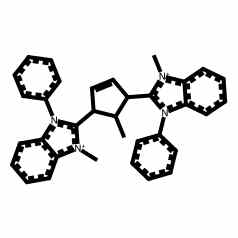 CC1C(c2n(-c3ccccc3)c3ccccc3[n+]2C)C=CC1c1n(-c2ccccc2)c2ccccc2[n+]1C